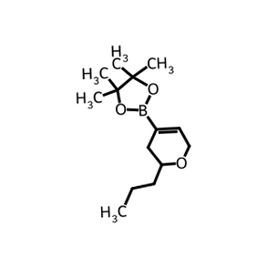 CCCC1CC(B2OC(C)(C)C(C)(C)O2)=CCO1